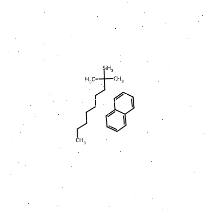 CCCCCCCC(C)(C)[SiH3].c1ccc2ccccc2c1